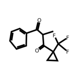 CC(C(=O)c1ccccc1)C(=O)C1(C(F)(F)F)CC1